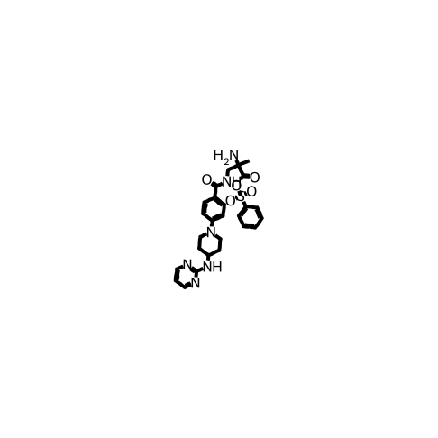 CC(N)(CNC(=O)c1ccc(N2CCC(Nc3ncccn3)CC2)cc1)C(=O)OS(=O)(=O)c1ccccc1